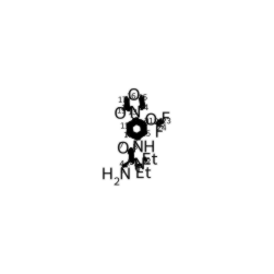 CCN(CC)[C@@H](CN)C(=O)Nc1ccc(N2CCOCC2=O)c(OC(F)F)c1